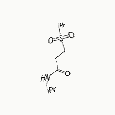 CC(C)NC(=O)CCS(=O)(=O)C(C)C